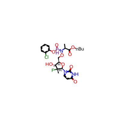 CCCCOC(=O)C(C)N(OC[C@H]1O[C@@H](n2ccc(=O)[nH]c2=O)[C@](C)(F)[C@@H]1O)[PH](=O)Oc1ccccc1Cl